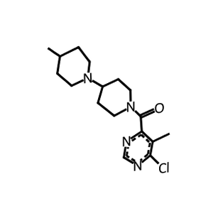 Cc1c(Cl)ncnc1C(=O)N1CCC(N2CCC(C)CC2)CC1